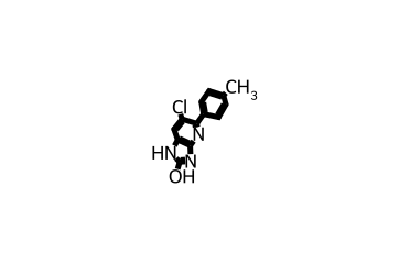 Cc1ccc(-c2nc3nc(O)[nH]c3cc2Cl)cc1